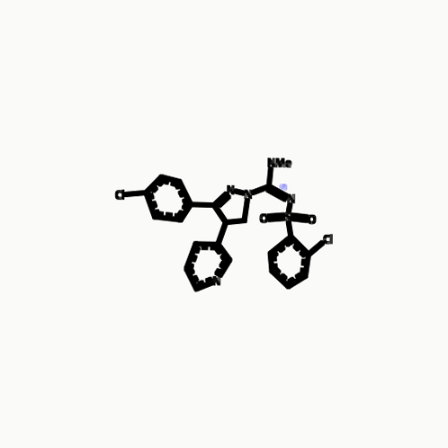 CN/C(=N/S(=O)(=O)c1ccccc1Cl)N1CC(c2cccnc2)C(c2ccc(Cl)cc2)=N1